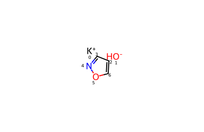 [K+].[OH-].c1cnoc1